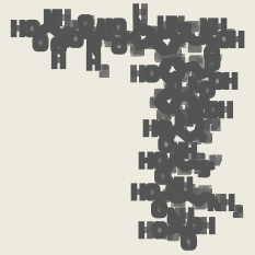 CC(C)C[C@H](N)C(=O)O.CC(C)[C@H](N)C(=O)O.CSCC[C@H](N)C(=O)O.C[C@@H](O)[C@H](N)C(=O)O.NCCCC[C@H](N)C(=O)O.N[C@@H](CO)C(=O)O.N[C@@H](Cc1c[nH]c2ccccc12)C(=O)O.N[C@@H](Cc1ccc(O)cc1)C(=O)O.N[C@@H](Cc1ccccc1)C(=O)O.O=C(O)[C@@H]1CCCN1